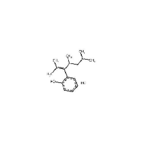 CC(C)=C(c1ccccc1O)C(C)CN(C)C.Cl